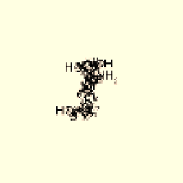 CCC(C(=O)[C@@H](C)C[C@H](C)[C@@H]1O[C@@H](CC(=O)O)CC[C@@H]1C)[C@H]1O[C@]2(C=C[C@@H](N)[C@H](CCC(C)(O)[C@H]3CC[C@@H](O)[C@H](C)O3)O2)[C@H](C)C[C@@H]1C